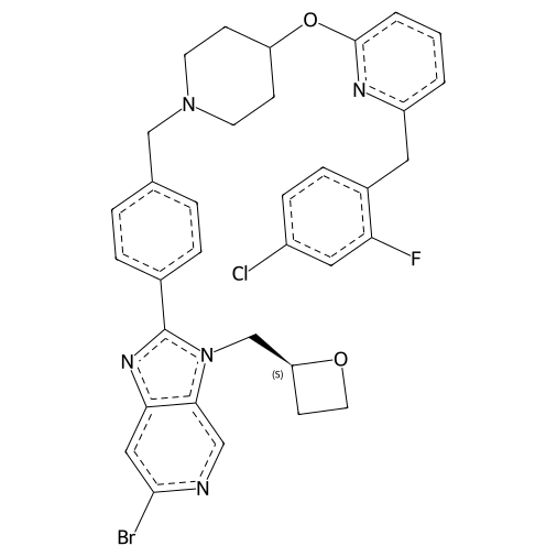 Fc1cc(Cl)ccc1Cc1cccc(OC2CCN(Cc3ccc(-c4nc5cc(Br)ncc5n4C[C@@H]4CCO4)cc3)CC2)n1